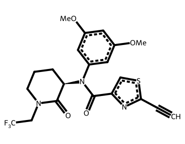 C#Cc1nc(C(=O)N(c2cc(OC)cc(OC)c2)[C@@H]2CCCN(CC(F)(F)F)C2=O)cs1